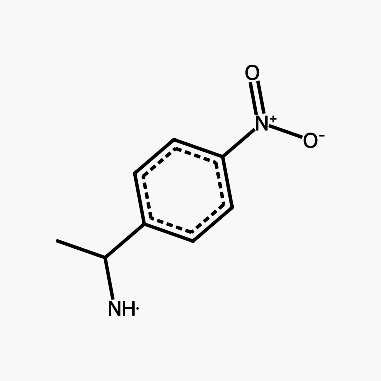 CC([NH])c1ccc([N+](=O)[O-])cc1